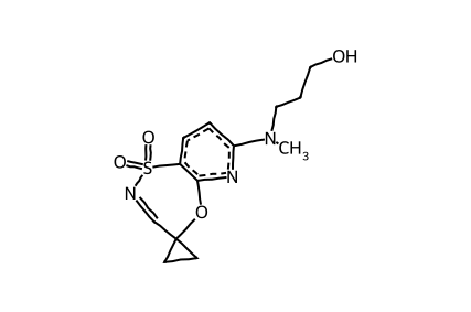 CN(CCCO)c1ccc2c(n1)OC1(C=NS2(=O)=O)CC1